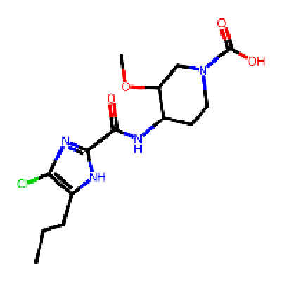 CCCc1[nH]c(C(=O)NC2CCN(C(=O)O)CC2OC)nc1Cl